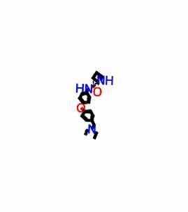 CCN(CC)Cc1ccc(Oc2ccc(NC(=O)[C@@H]3CCCN3)cc2)cc1